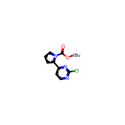 CC(C)(C)OC(=O)n1cccc1-c1ccnc(Cl)n1